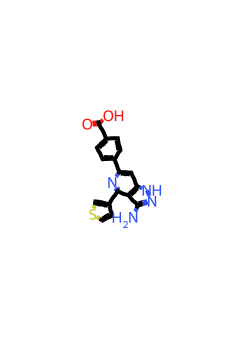 Nc1n[nH]c2cc(-c3ccc(C(=O)O)cc3)nc(-c3ccsc3)c12